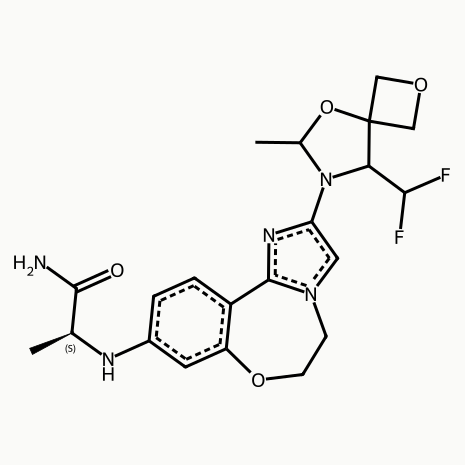 CC1OC2(COC2)C(C(F)F)N1c1cn2c(n1)-c1ccc(N[C@@H](C)C(N)=O)cc1OCC2